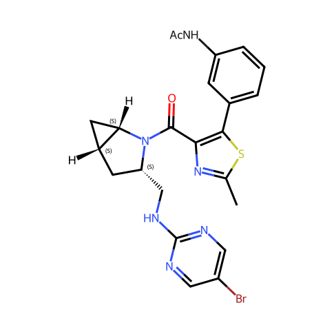 CC(=O)Nc1cccc(-c2sc(C)nc2C(=O)N2[C@H](CNc3ncc(Br)cn3)C[C@@H]3C[C@@H]32)c1